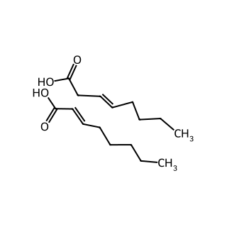 CCCC/C=C/CC(=O)O.CCCCC/C=C/C(=O)O